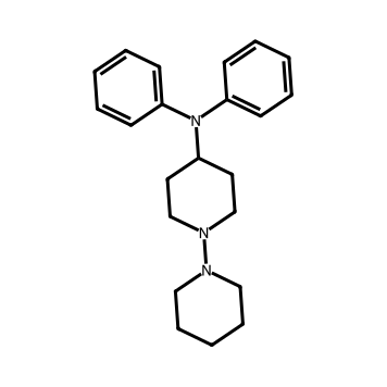 c1ccc(N(c2ccccc2)C2CCN(N3CCCCC3)CC2)cc1